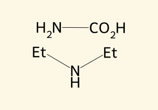 CCNCC.NC(=O)O